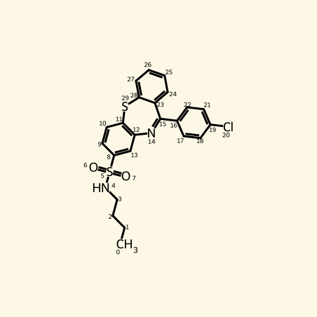 CCCCNS(=O)(=O)c1ccc2c(c1)N=C(c1ccc(Cl)cc1)c1ccccc1S2